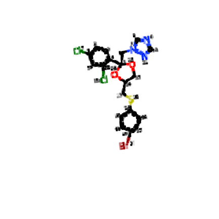 Clc1ccc(C2(Cn3cncn3)OCC(CSc3ccc(Br)cc3)O2)c(Cl)c1